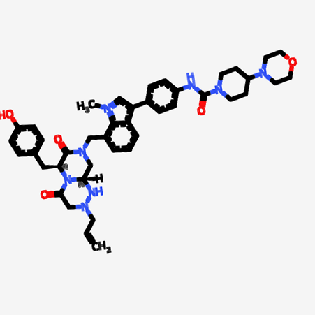 C=CCN1CC(=O)N2[C@H](CN(Cc3cccc4c(-c5ccc(NC(=O)N6CCC(N7CCOCC7)CC6)cc5)cn(C)c34)C(=O)[C@@H]2Cc2ccc(O)cc2)N1